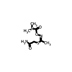 CC(=NOC(=O)N(C)C)SCC(N)=O